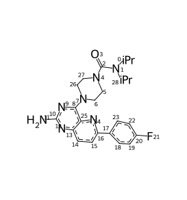 CC(C)N(C(=O)N1CCN(c2nc(N)nc3ccc(-c4ccc(F)cc4)nc23)CC1)C(C)C